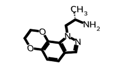 C[C@H](N)Cn1ncc2ccc3c(c21)OCCO3